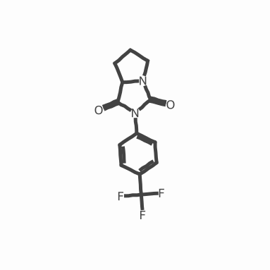 O=C1C2CCCN2C(=O)N1c1ccc(C(F)(F)F)cc1